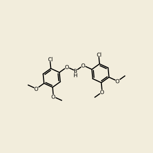 COc1cc(Cl)c(OBOc2cc(OC)c(OC)cc2Cl)cc1OC